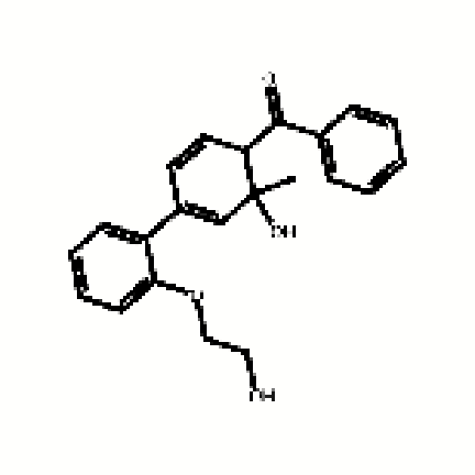 CC1(O)C=C(c2ccccc2OCCO)C=CC1C(=O)c1ccccc1